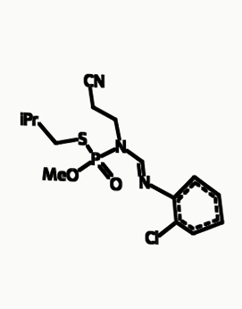 COP(=O)(SCC(C)C)N(C=Nc1ccccc1Cl)CCC#N